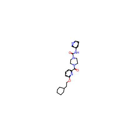 O=C(Nc1cccnc1)N1CCN(C(=O)c2cccc(OCCC3CCCCC3)n2)CC1